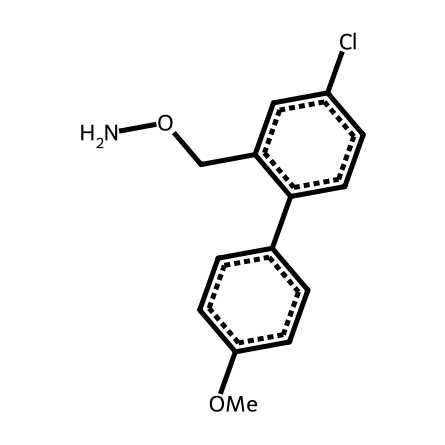 COc1ccc(-c2ccc(Cl)cc2CON)cc1